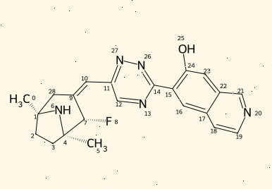 C[C@@]12CC[C@@](C)(N1)[C@@H](F)/C(=C\c1cnc(-c3cc4ccncc4cc3O)nn1)C2